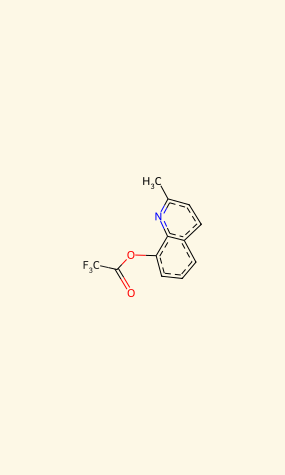 Cc1ccc2cccc(OC(=O)C(F)(F)F)c2n1